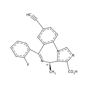 C#Cc1ccc2c(c1)C(c1ccccc1F)=N[C@H](C)c1c(C(=O)O)ncn1-2